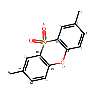 Cc1ccc2c(c1)S(=O)(=O)c1cc(C)ccc1O2